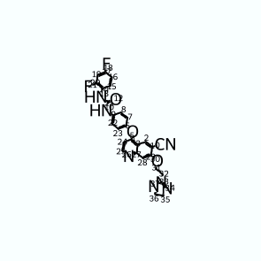 N#Cc1cc2c(Oc3ccc(NC(=O)Nc4ccc(F)cc4F)cc3)ccnc2cc1OCCn1nccn1